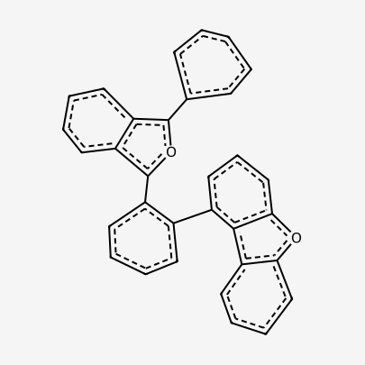 c1ccc(-c2oc(-c3ccccc3-c3cccc4oc5ccccc5c34)c3ccccc23)cc1